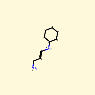 NCC=CNC1CCCCC1